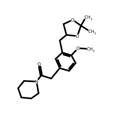 COc1ccc(CC(=O)N2CCCCC2)cc1CC1COC(C)(C)O1